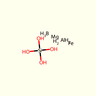 B.O[Si](O)(O)O.[AlH3].[Fe].[MgH2]